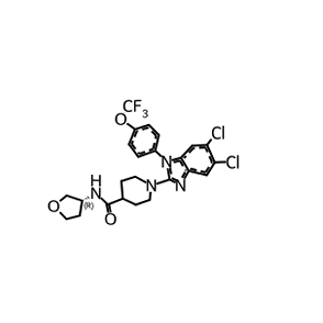 O=C(N[C@@H]1CCOC1)C1CCN(c2nc3cc(Cl)c(Cl)cc3n2-c2ccc(OC(F)(F)F)cc2)CC1